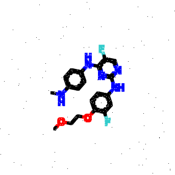 CNc1ccc(Nc2nc(Nc3ccc(OCCOC)c(F)c3)ncc2F)cc1